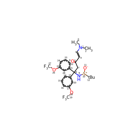 CN(C)C=CC(=O)CC(N[S+]([O-])C(C)(C)C)(c1cccc(OC(F)(F)F)c1)c1cccc(OC(F)(F)F)c1